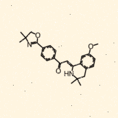 COc1ccc2c(c1)/C(=C/C(=O)c1ccc(C3=NC(C)(C)CO3)cc1)NC(C)(C)C2